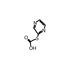 O=C(O)Sc1cnccn1